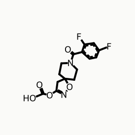 O=C(O)OC1=NOC2(CCN(C(=O)c3ccc(F)cc3F)CC2)C1